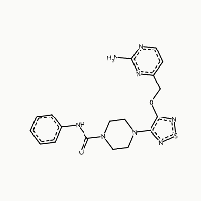 Nc1nccc(COc2nsnc2N2CCN(C(=O)Nc3ccccc3)CC2)n1